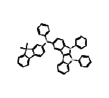 CC1(C)c2ccccc2-c2ccc(N(c3ccccc3)c3ccc4c(c3)c3c5ccccc5n(-c5ccccc5)c3n4-c3ccccc3)cc21